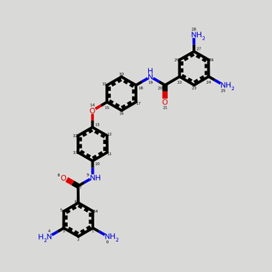 Nc1cc(N)cc(C(=O)Nc2ccc(Oc3ccc(NC(=O)c4cc(N)cc(N)c4)cc3)cc2)c1